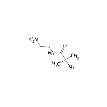 CC(C)(S)C(=O)NCCN